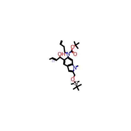 C=CCCN(C(=O)OC(C)(C)C)c1cc2c(cc1C(O)/C=C/C)cc(CO[Si](C)(C)C(C)(C)C)n2C